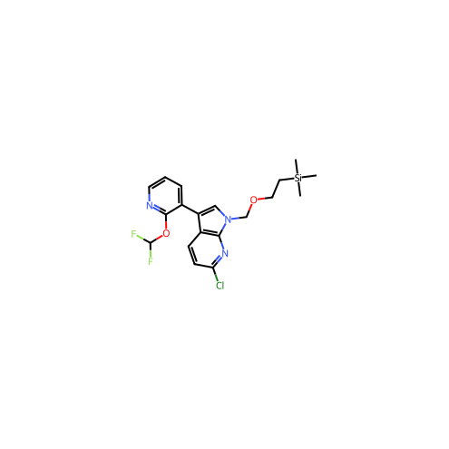 C[Si](C)(C)CCOCn1cc(-c2cccnc2OC(F)F)c2ccc(Cl)nc21